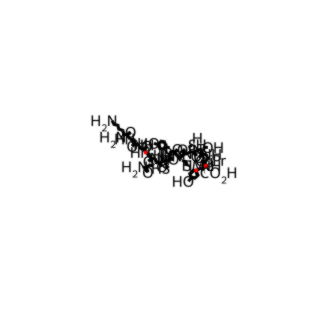 CSCC[C@H](NC(=O)[C@H](Cc1ccc(O)cc1)NC(=O)[C@H](CS)NC(=O)[C@H](CCC(N)=O)NC(=O)CNC(=O)CNC(=O)CNC(=O)[C@@H](N)CCCCN)C(=O)N[C@@H](CS)C(=O)N[C@H](CO)C(=O)N[C@@H](C(=O)N[C@@H](Cc1ccc(O)cc1)C(=O)O)C(C)C